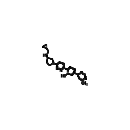 Cc1cc(-c2ccc(-c3ccc(N4CCC(NCC5CC5)C4)nn3)c(O)c2)ncn1